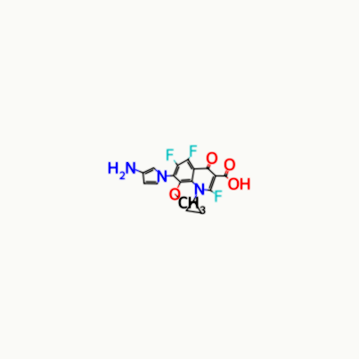 COc1c(-n2ccc(N)c2)c(F)c(F)c2c(=O)c(C(=O)O)c(F)n(C3CC3)c12